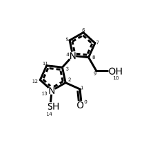 O=Cc1c(-n2cccc2CO)ccn1S